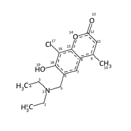 CCN(CC)Cc1cc2c(C)cc(=O)oc2c(Cl)c1O